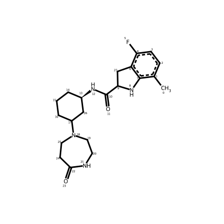 Cc1ccc(F)c2c1NC(C(=O)N[C@@H]1CCCC(N3CCNC(=O)CC3)C1)C2